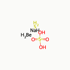 O=S(=O)(O)O.S.[BeH2].[NaH]